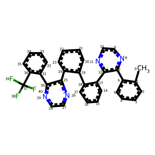 Cc1ccccc1-c1nccnc1-c1ccccc1-c1ccccc1-c1nccnc1-c1ccccc1C(F)(F)F